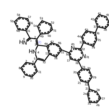 N=C(/C(=C1\NC(c2ccccc2)=Cc2cc(-c3cc(-c4ccc(-c5ccccc5)cc4)nc(-c4ccc(-c5ccccc5)cc4)n3)ccc21)c1ccccc1)c1ccccc1